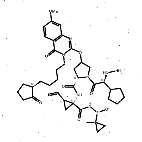 C=C[C@@H]1C[C@]1(NC(=O)[C@@H]1CC(Oc2nc3cc(OC)ccc3c(=O)n2CCCCC[C@@H]2CCCC2=O)CN1C(=O)[C@@H](NN)C1CCCC1)C(=O)N[S+]([O-])C1(C)CC1